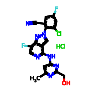 Cc1cc(Nc2ncc(F)c3nn(-c4c(Cl)cc(F)cc4C#N)cc23)nc(CO)n1.Cl